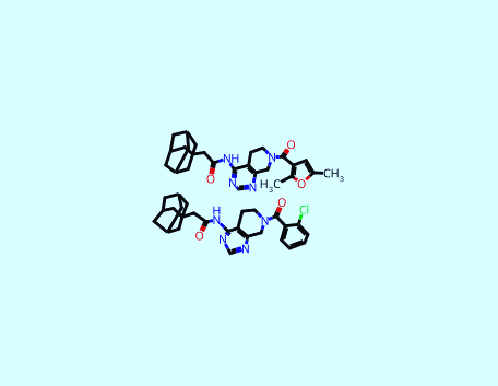 Cc1cc(C(=O)N2CCc3c(ncnc3NC(=O)CC34CC5CC(CC(C5)C3)C4)C2)c(C)o1.O=C(CC12CC3CC(CC(C3)C1)C2)Nc1ncnc2c1CCN(C(=O)c1ccccc1Cl)C2